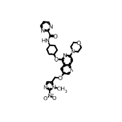 Cn1c(COc2cnc3cc(N4CCOCC4)nc(OC4CCC(NC(=O)c5ncccn5)CC4)c3c2)cnc1[N+](=O)[O-]